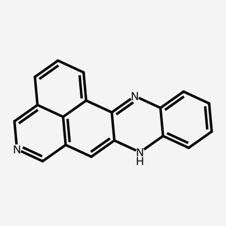 c1ccc2c(c1)N=c1c(cc3cncc4cccc1c43)N2